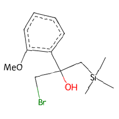 COc1ccccc1C(O)(CBr)C[Si](C)(C)C